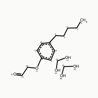 CCCCCc1ccc(OCC=O)cc1.OCO.OCO